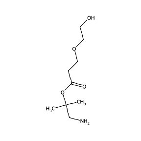 CC(C)(CN)OC(=O)CCOCCO